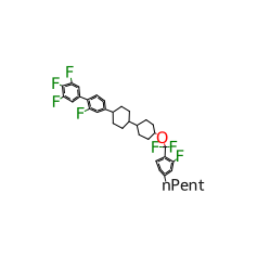 CCCCCc1ccc(C(F)(F)OC2CCC(C3CCC(c4ccc(-c5cc(F)c(F)c(F)c5)c(F)c4)CC3)CC2)c(F)c1